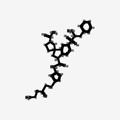 CCOC(=O)CSc1cnc(NC(=O)N2CC3(CCN(C(C)=O)C3)c3cc(S(=O)(=O)N(C)Cc4ccccc4)ccc32)s1